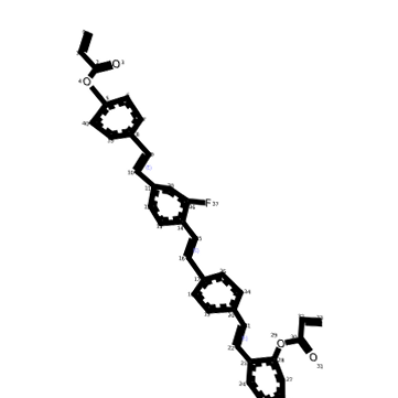 C=CC(=O)Oc1ccc(/C=C/c2ccc(/C=C/c3ccc(/C=C/c4ccccc4OC(=O)C=C)cc3)c(F)c2)cc1